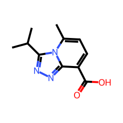 Cc1ccc(C(=O)O)c2nnc(C(C)C)n12